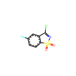 O=S1(=O)N=C(Cl)c2cc(F)ccc21